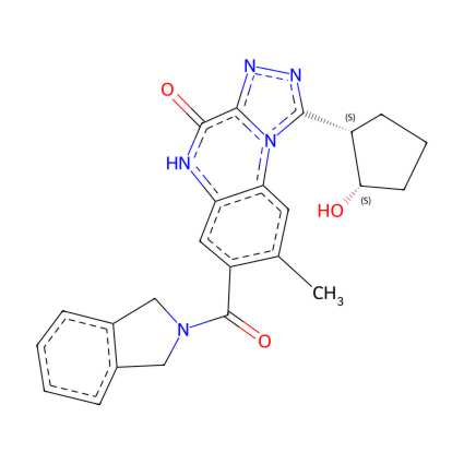 Cc1cc2c(cc1C(=O)N1Cc3ccccc3C1)[nH]c(=O)c1nnc([C@@H]3CCC[C@@H]3O)n12